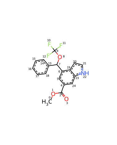 COC(=O)c1cc(C(OC(F)(F)F)c2ccccc2)c2cc[nH]c2c1